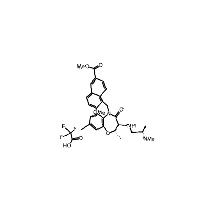 CN[C@@H](C)CN[C@@H]1C(=O)N(Cc2c(OC)ccc3cc(C(=O)OC)ccc23)c2ccc(C)cc2O[C@H]1C.O=C(O)C(F)(F)F